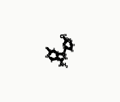 Cc1cc2c(cn1)c(N)nn2-c1ccnc(Cl)n1